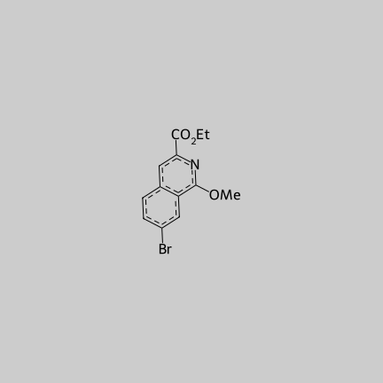 CCOC(=O)c1cc2ccc(Br)cc2c(OC)n1